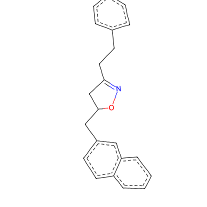 c1ccc(CCC2=NOC(Cc3ccc4ccccc4c3)C2)cc1